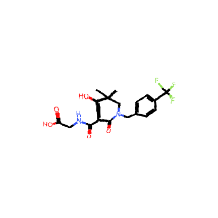 CC1(C)CN(Cc2ccc(C(F)(F)F)cc2)C(=O)C(C(=O)NCC(=O)O)=C1O